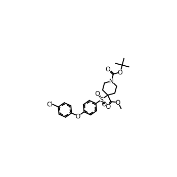 COC(=O)C1(S(=O)(=O)c2ccc(Oc3ccc(Cl)cc3)cc2)CCN(C(=O)OC(C)(C)C)CC1